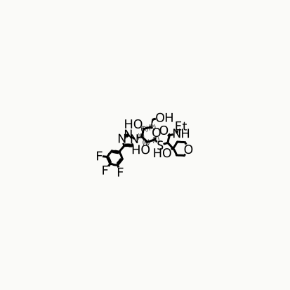 CCNC(=O)C(S[C@@H]1O[C@H](CO)[C@H](O)[C@H](n2cc(-c3cc(F)c(F)c(F)c3)nn2)[C@H]1O)C1(O)CCOCC1